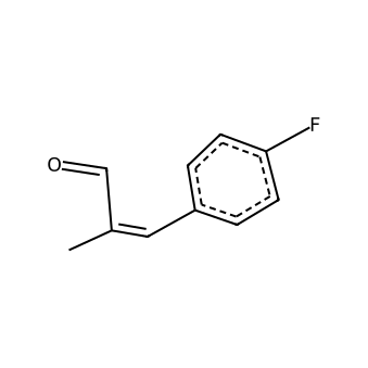 CC(C=O)=Cc1ccc(F)cc1